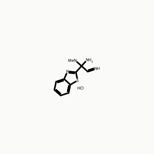 CNC(N)(C=N)c1nc2ccccc2s1.Cl